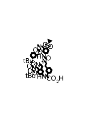 CN(CCc1cccc(C(Nc2ccc3c(N(C(=O)OC(C)(C)C)C(=O)OC(C)(C)C)nccc3c2)C(=O)O)c1)C(=O)Nc1ccc(S(=O)(=O)C2CC2)c(CN(C)C(=O)OCc2ccccc2)c1